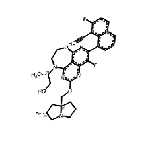 C#Cc1c(F)ccc2cccc(-c3nc4c5c(nc(OC[C@@]67CCCN6C[C@H](F)C7)nc5c3F)N([C@@H](C)CO)CCO4)c12